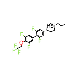 CCC[Si@H]1CC[C@H](c2cc(F)c(-c3cc(F)c(OCC(F)(F)F)c(F)c3)c(F)c2)CC1